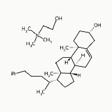 CC(C)CCCC(C)[C@H]1CC[C@H]2[C@@H]3CC=C4C[C@@H](O)CC[C@]4(C)[C@H]3CC[C@]12C.C[N+](C)(C)CCO